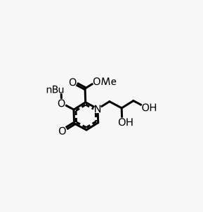 CCCCOc1c(C(=O)OC)n(CC(O)CO)ccc1=O